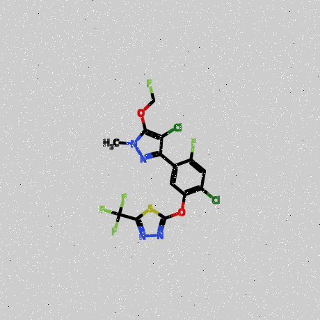 Cn1nc(-c2cc(Oc3nnc(C(F)(F)F)s3)c(Cl)cc2F)c(Cl)c1OCF